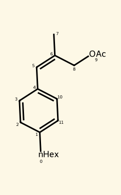 CCCCCCc1ccc(C=C(C)COC(C)=O)cc1